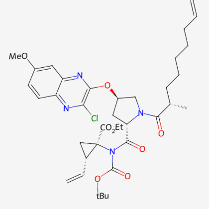 C=CCCCCC[C@H](C)C(=O)N1C[C@H](Oc2nc3cc(OC)ccc3nc2Cl)C[C@H]1C(=O)N(C(=O)OC(C)(C)C)[C@]1(C(=O)OCC)C[C@H]1C=C